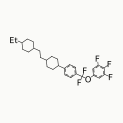 CCC1CCC(CCC2CCC(c3ccc(C(F)(F)Oc4cc(F)c(F)c(F)c4)cc3)CC2)CC1